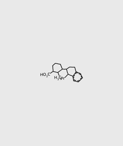 CC(C)C1c2ccccc2CCC1C1CCCC(C(=O)O)C1C